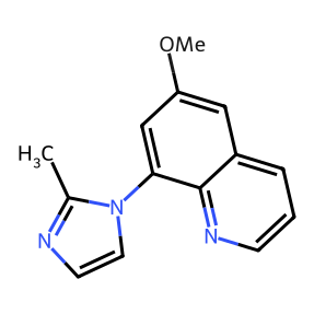 COc1cc(-n2ccnc2C)c2ncccc2c1